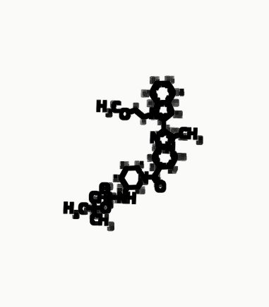 COCCn1c(-c2nc3cc(C(=O)N4CCCC(NC(=O)OC(C)(C)C)C4)ccn3c2C)cc2ccccc21